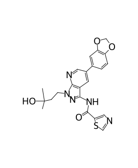 CC(C)(O)CCn1nc(NC(=O)c2cncs2)c2cc(-c3ccc4c(c3)OCO4)cnc21